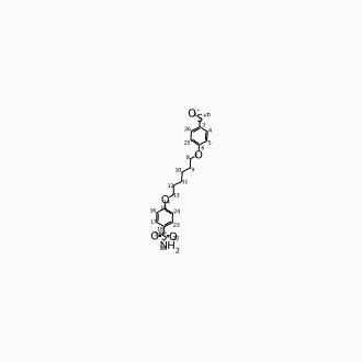 C[S+]([O-])c1ccc(OCCCCCCOc2ccc(S(N)(=O)=O)cc2)cc1